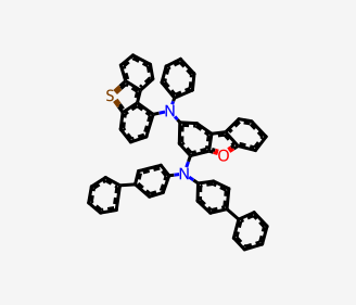 c1ccc(-c2ccc(N(c3ccc(-c4ccccc4)cc3)c3cc(N(c4ccccc4)c4cccc5sc6ccccc6c45)cc4c3oc3ccccc34)cc2)cc1